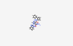 NC(=O)c1c(C(=O)Nc2ccccc2-c2ccccc2)ncn1-c1nc2ccccc2[nH]1